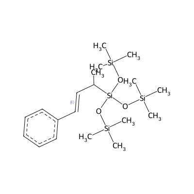 CC(/C=C/c1ccccc1)[Si](O[Si](C)(C)C)(O[Si](C)(C)C)O[Si](C)(C)C